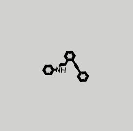 C(#Cc1ccccc1/C=C/Nc1ccccc1)c1ccccc1